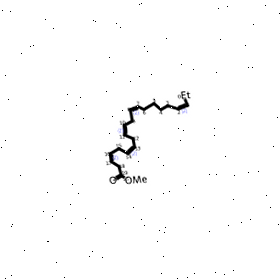 CC/C=C\CCCC/C=C\C/C=C\C/C=C\C/C=C\CC(=O)OC